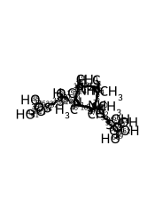 CCC1=C(C)c2cc3[nH]c(cc4nc(c(C)c5cc(C)c(cc1n2)[nH]5)[C@@H](CCC(=O)SCCCS[C@H]1C[C@@H](O)C[C@@H](CO)O1)[C@@H]4C)c(C)c3C(C)OCCCS[C@@H]1O[C@H](CO)[C@@H](O)[C@H](O)[C@H]1O